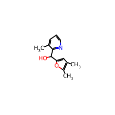 Cc1cccnc1C(O)c1cc(C)c(C)o1